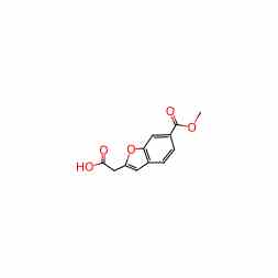 COC(=O)c1ccc2cc(CC(=O)O)oc2c1